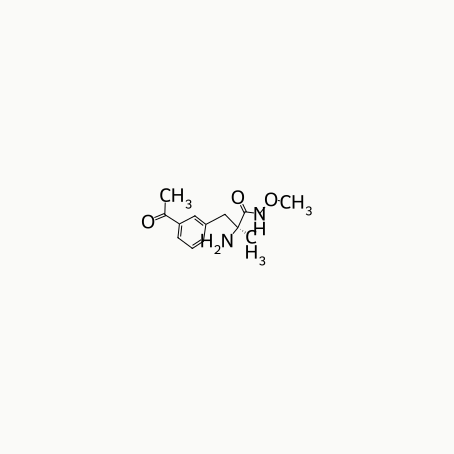 CONC(=O)[C@@](C)(N)Cc1cccc(C(C)=O)c1